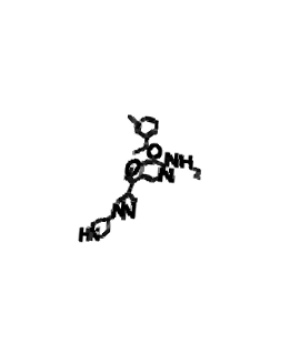 Cc1cccc(C(C)Oc2c(N)ncc3c(-c4cnn(C5CCNCC5)c4)coc23)c1